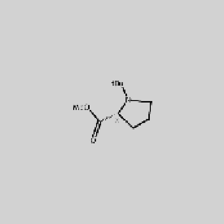 COC(=O)[C@H]1CCCN1C(C)(C)C